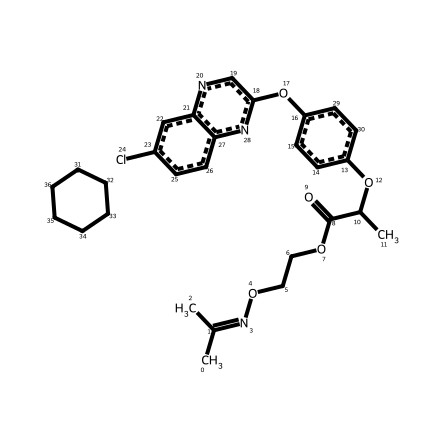 CC(C)=NOCCOC(=O)C(C)Oc1ccc(Oc2cnc3cc(Cl)ccc3n2)cc1.[CH]1CCCCC1